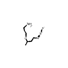 CC(CCN=[N+]=[N-])OCCN